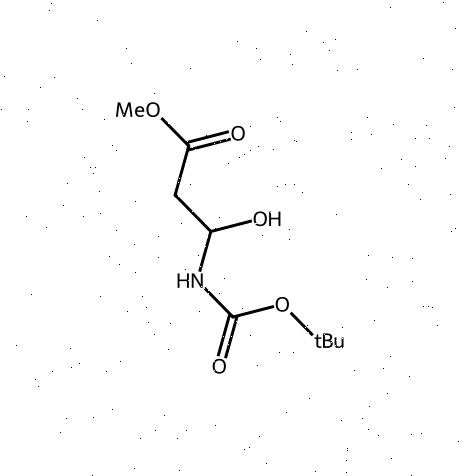 COC(=O)CC(O)NC(=O)OC(C)(C)C